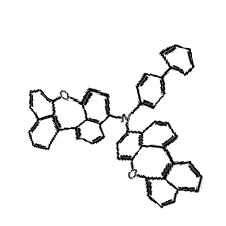 c1ccc(-c2ccc(N(c3ccc4oc5cccc6cccc(c7cccc3c47)c65)c3ccc4oc5cccc6cccc(c7cccc3c47)c65)cc2)cc1